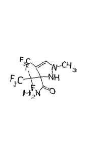 CN1C=C(C(F)(F)F)C(C(N)=O)(C(F)(F)C(F)(F)F)N1